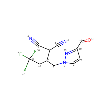 N#CC(C#N)C(Cn1ccc(C=O)n1)CC(F)(F)F